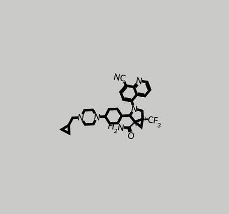 N#Cc1ccc(N2C[C@]3(C(F)(F)F)C[C@]3(C(N)=O)C2C2CCC(N3CCN(CC4CC4)CC3)CC2)c2cccnc12